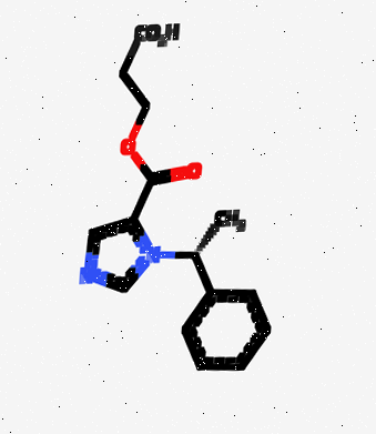 C[C@H](c1ccccc1)n1cncc1C(=O)OCCC(=O)O